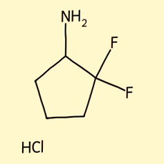 Cl.NC1CCCC1(F)F